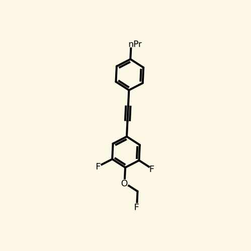 CCCc1ccc(C#Cc2cc(F)c(OCF)c(F)c2)cc1